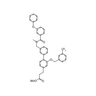 COC(=O)CCc1ccc(-c2cccc(CN(C)C(=O)c3cccc(Oc4ccccc4)c3)c2)c(OCc2cccc(C(F)(F)F)c2)c1